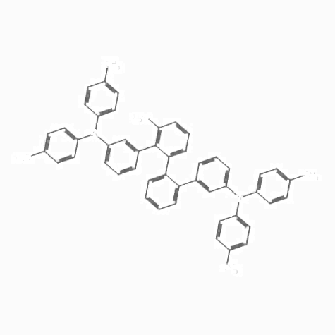 Cc1ccc(N(c2ccc(C)cc2)c2cccc(-c3ccccc3-c3cccc(C)c3-c3cccc(N(c4ccc(C)cc4)c4ccc(C)cc4)c3)c2)cc1